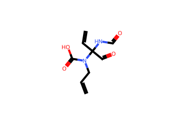 C=CCN(C(=O)O)C([C]=O)(C=C)NC=O